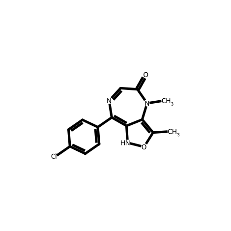 CC1=C2C(=C(c3ccc(Cl)cc3)N=CC(=O)N2C)NO1